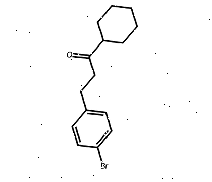 O=C(CCc1ccc(Br)cc1)C1CCCCC1